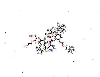 C=CCOCC(CO)Oc1c(Cl)c(C)c(-c2c(C3=CCCC3)sc3ncnc(OC(Cc4cc(O[Si](C)(C)C(C)(C)C)ccc4OCOCC[Si](C)(C)C)C(=O)OC(C)(C)C)c23)c(C)c1Cl